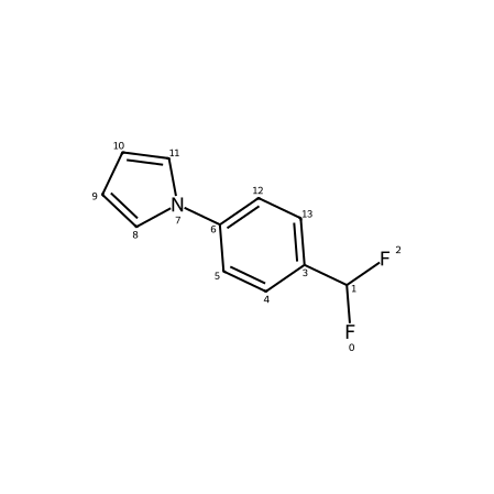 FC(F)c1ccc(-n2cccc2)cc1